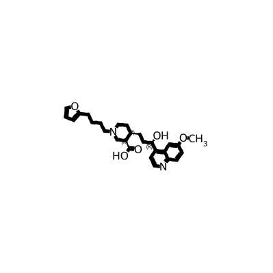 COc1ccc2nccc([C@H](O)CC[C@@H]3CCN(CCCCc4ccco4)C[C@@H]3C(=O)O)c2c1